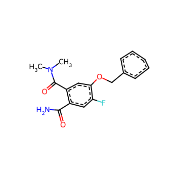 CN(C)C(=O)c1cc(OCc2ccccc2)c(F)cc1C(N)=O